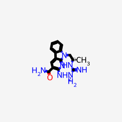 C[C@@H](Cn1c2ccccc2c2cc(C(N)=O)c(N)nc21)NC(=N)N